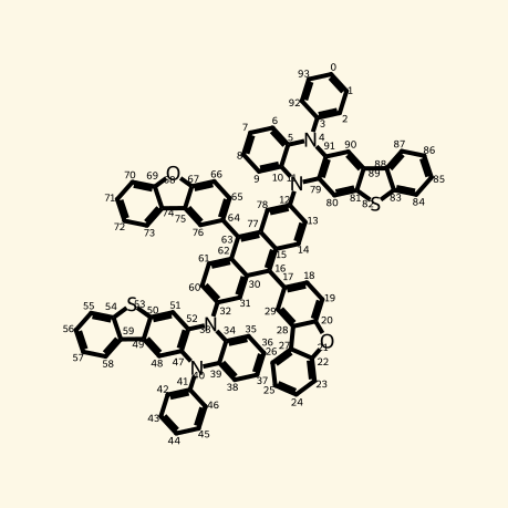 c1ccc(N2c3ccccc3N(c3ccc4c(-c5ccc6oc7ccccc7c6c5)c5cc(N6c7ccccc7N(c7ccccc7)c7cc8c(cc76)sc6ccccc68)ccc5c(-c5ccc6oc7ccccc7c6c5)c4c3)c3cc4sc5ccccc5c4cc32)cc1